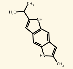 Cc1cc2cc3[nH]c(C(C)C)cc3cc2[nH]1